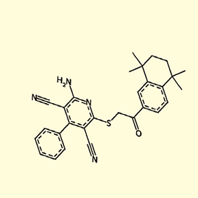 CC1(C)CCC(C)(C)c2cc(C(=O)CSc3nc(N)c(C#N)c(-c4ccccc4)c3C#N)ccc21